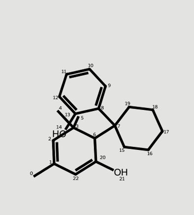 CC1=CC(C)(C)C(C2(c3ccccc3O)CCCCC2)C(O)=C1